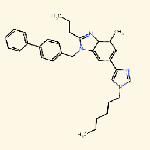 CCCCCCn1cnc(-c2cc(C)c3nc(CCC)n(Cc4ccc(-c5ccccc5)cc4)c3c2)c1